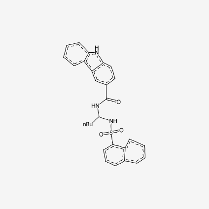 CCCCC(NC(=O)c1ccc2[nH]c3ccccc3c2c1)NS(=O)(=O)c1cccc2ccccc12